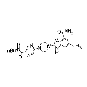 CCCCNC(=O)c1cnc(N2CCN(c3nc4c(C(N)=O)cc(C)cc4[nH]3)CC2)cn1